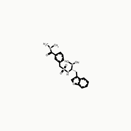 CN(C)C(=O)c1cccc(CS(=O)(=O)N[C@@H](Cc2coc3ccccc23)B(O)O)c1